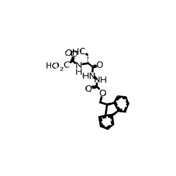 O=CC[C@@H](NC(=O)C(=O)O)C(=O)NNC(=O)OCC1c2ccccc2-c2ccccc21